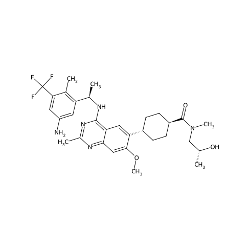 COc1cc2nc(C)nc(N[C@H](C)c3cc(N)cc(C(F)(F)F)c3C)c2cc1[C@H]1CC[C@H](C(=O)N(C)C[C@@H](C)O)CC1